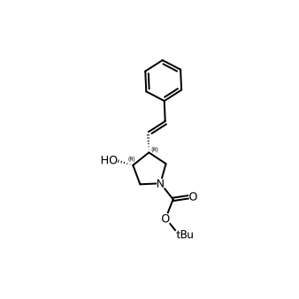 CC(C)(C)OC(=O)N1C[C@@H](C=Cc2ccccc2)[C@@H](O)C1